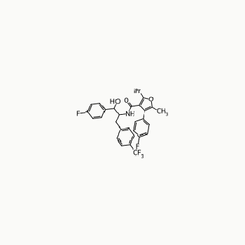 Cc1oc(C(C)C)c(C(=O)NC(Cc2ccc(C(F)(F)F)cc2)C(O)c2ccc(F)cc2)c1-c1ccc(F)cc1